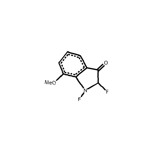 COc1cccc2c1N(F)C(F)C2=O